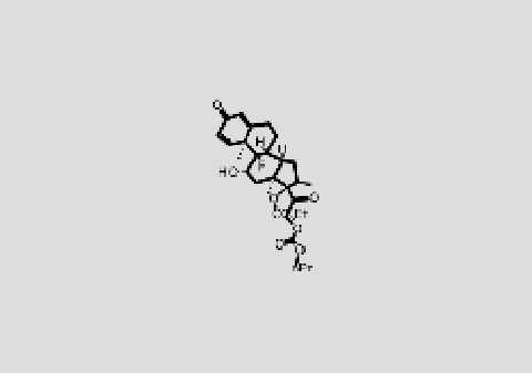 CCCOC(=O)OCC(=O)[C@@]1(OC(=O)OCC)[C@H](C)C[C@H]2[C@@H]3CCC4=CC(=O)C=C[C@]4(C)[C@@]3(F)[C@@H](O)C[C@@]21C